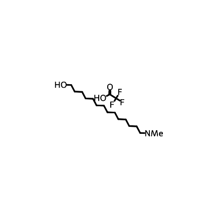 CNCCCCCCCCCCCCCCO.O=C(O)C(F)(F)F